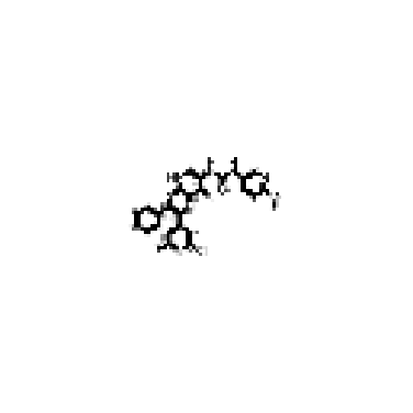 COc1ccc(NC(=O)Nc2c[nH]c3nc(-c4ccccc4)c(-c4cc(C)nc(Cl)c4)nc3c2=O)cn1